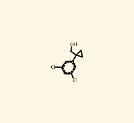 OCC1(c2cc(Cl)cc(Cl)c2)CC1